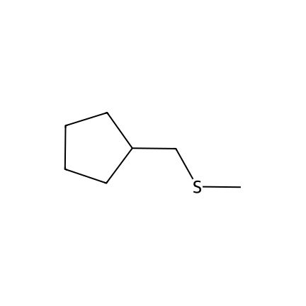 CSCC1CCCC1